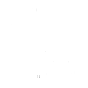 COC(=O)NC(C(N)=O)C1CCOC(C)C1